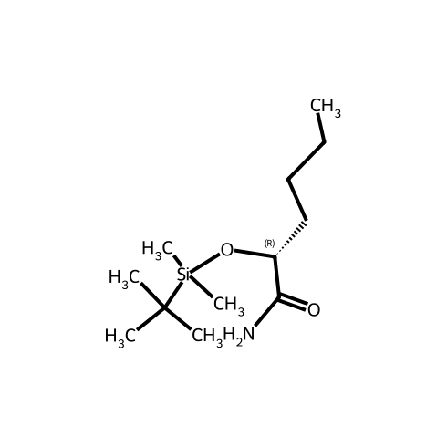 CCCC[C@@H](O[Si](C)(C)C(C)(C)C)C(N)=O